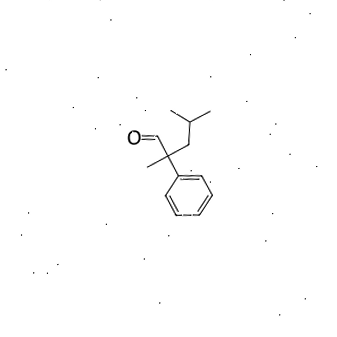 CC(C)CC(C)(C=O)c1ccccc1